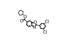 O=C(OC1CCCC1)c1ccc2nc(-c3cc(Cl)cc(Cl)c3)oc2c1